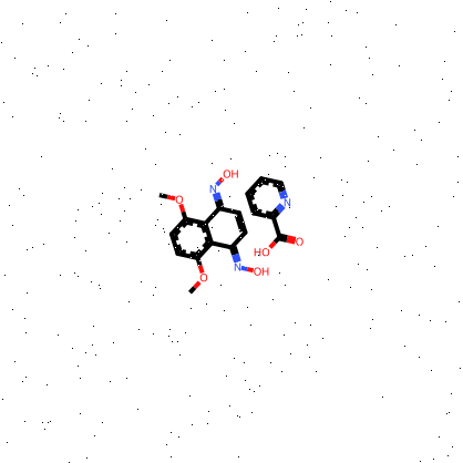 COc1ccc(OC)c2c1C(=NO)C=CC2=NO.O=C(O)c1ccccn1